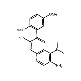 CCCC(=Cc1ccc(N)c(N(C)C)c1)C(=O)c1cc(OC)ccc1OC